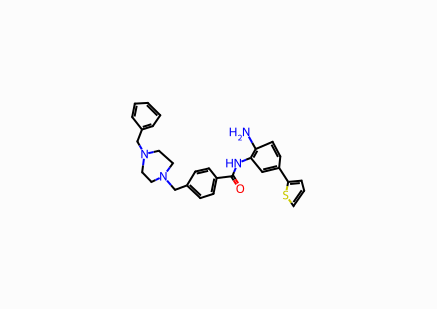 Nc1ccc(-c2cccs2)cc1NC(=O)c1ccc(CN2CCN(Cc3ccccc3)CC2)cc1